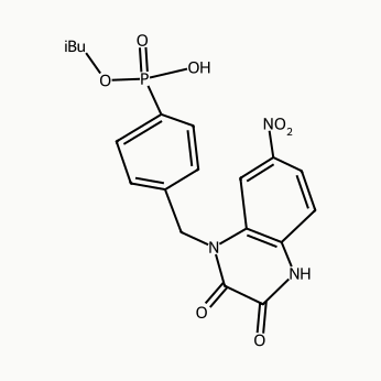 CCC(C)OP(=O)(O)c1ccc(Cn2c(=O)c(=O)[nH]c3ccc([N+](=O)[O-])cc32)cc1